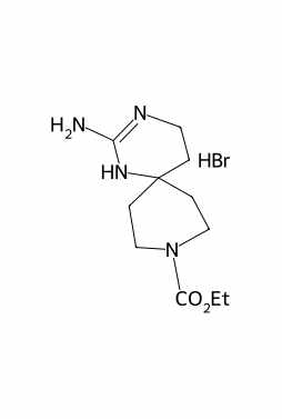 Br.CCOC(=O)N1CCC2(CCN=C(N)N2)CC1